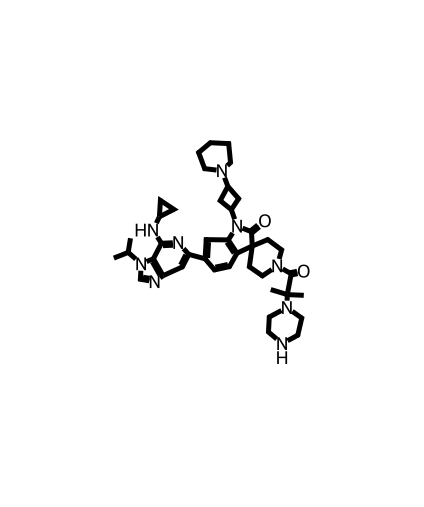 CC(C)n1cnc2cc(-c3ccc4c(c3)N(C3CC(N5CCCCC5)C3)C(=O)C43CCN(C(=O)C(C)(C)N4CCNCC4)CC3)nc(NC3CC3)c21